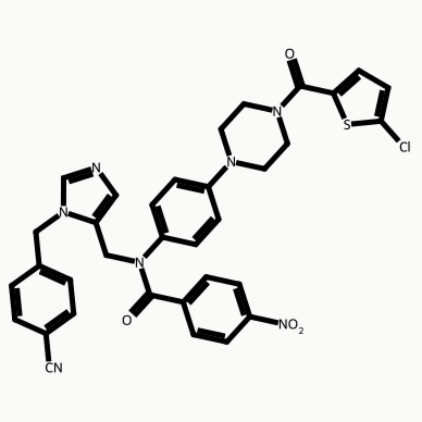 N#Cc1ccc(Cn2cncc2CN(C(=O)c2ccc([N+](=O)[O-])cc2)c2ccc(N3CCN(C(=O)c4ccc(Cl)s4)CC3)cc2)cc1